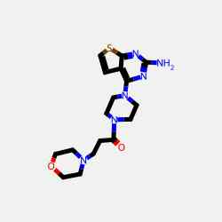 Nc1nc(N2CCN(C(=O)CCN3CCOCC3)CC2)c2ccsc2n1